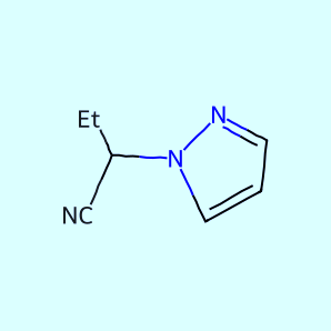 CCC(C#N)n1cccn1